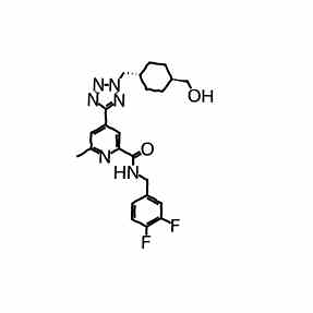 Cc1cc(-c2nnn(C[C@H]3CC[C@H](CO)CC3)n2)cc(C(=O)NCc2ccc(F)c(F)c2)n1